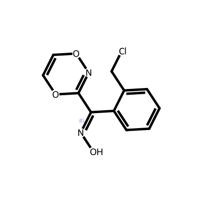 O/N=C(/C1=NOC=CO1)c1ccccc1CCl